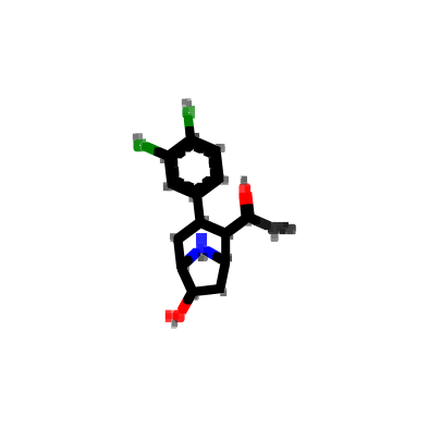 COC(=O)C1C2CC(O)C(CC1c1ccc(Cl)c(Cl)c1)N2